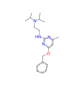 Cc1cc(OCc2ccccc2)nc(NCCN(C(C)C)C(C)C)n1